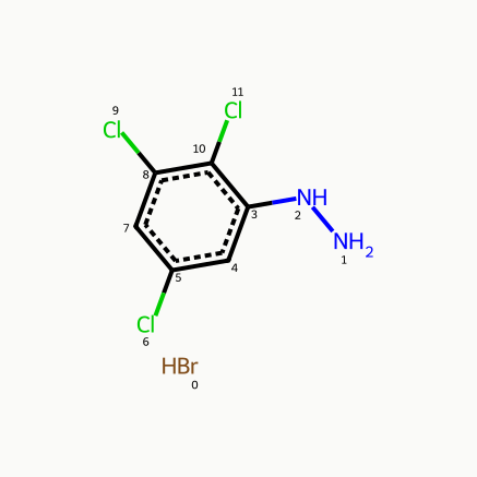 Br.NNc1cc(Cl)cc(Cl)c1Cl